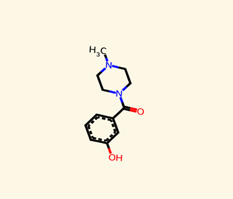 CN1CCN(C(=O)c2cccc(O)c2)CC1